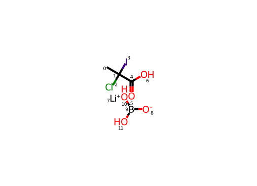 CC(Cl)(I)C(=O)O.[Li+].[O-]B(O)O